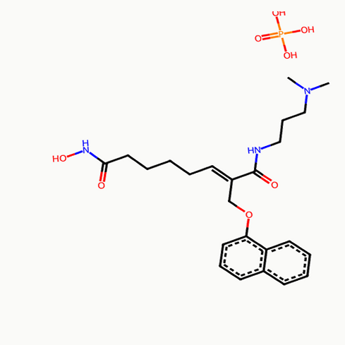 CN(C)CCCNC(=O)/C(=C/CCCCC(=O)NO)COc1cccc2ccccc12.O=P(O)(O)O